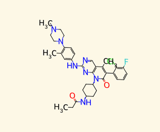 CCC(=O)N[C@H]1CC[C@@H](n2c(=O)c(-c3cccc(F)c3Cl)c(C)c3cnc(Nc4ccc(N5CCN(C)CC5)c(C)c4)nc32)CC1